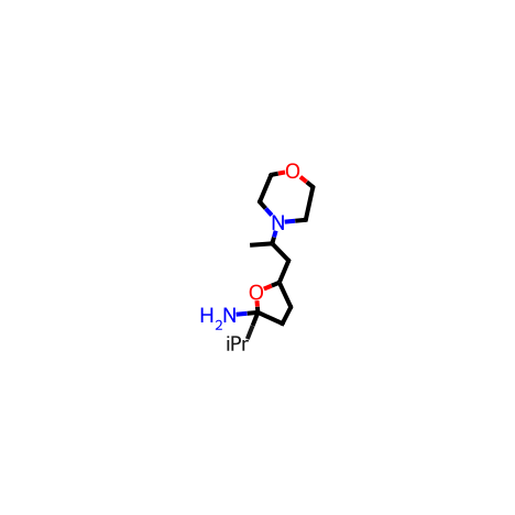 CC(CC1CCC(N)(C(C)C)O1)N1CCOCC1